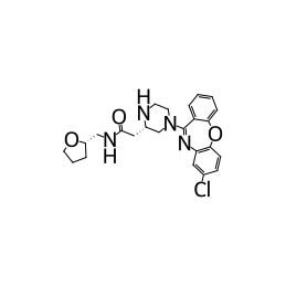 O=C(C[C@H]1CN(C2=Nc3cc(Cl)ccc3Oc3ccccc32)CCN1)NC[C@@H]1CCCO1